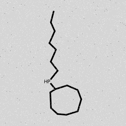 CCCCCCCPC1CCCCCCCC1